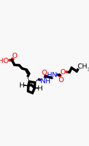 CCCCOC(=O)NCC(=O)NC[C@@H]1[C@@H]2CC[C@@H](C2)[C@@H]1C/C=C\CCCC(=O)O